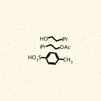 CC(=O)OCCC(C)C.CC(C)CCO.Cc1ccc(S(=O)(=O)O)cc1